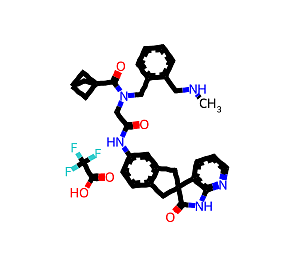 CNCc1ccccc1CN(CC(=O)Nc1ccc2c(c1)CC1(C2)C(=O)Nc2ncccc21)C(=O)C12CC(C1)C2.O=C(O)C(F)(F)F